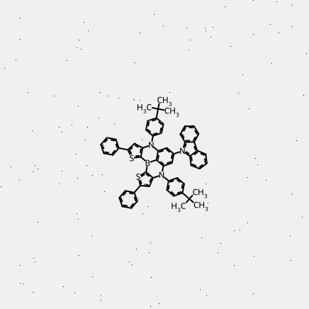 CC(C)(C)c1ccc(N2c3cc(-c4ccccc4)sc3B3c4sc(-c5ccccc5)cc4N(c4ccc(C(C)(C)C)cc4)c4cc(-n5c6ccccc6c6ccccc65)cc2c43)cc1